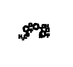 COc1cccc(Oc2ccc(C(O)c3cncc(F)c3Cl)cc2)c1F